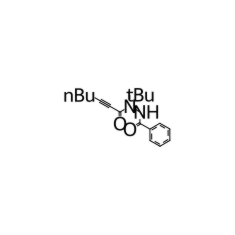 CCCCC#CC(=O)N(NC(=O)c1ccccc1)C(C)(C)C